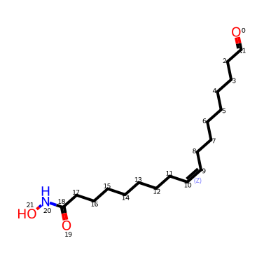 O=[C]CCCCCCC/C=C\CCCCCCCC(=O)NO